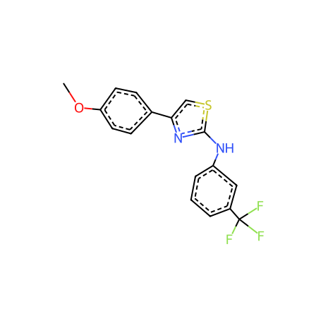 COc1ccc(-c2csc(Nc3cccc(C(F)(F)F)c3)n2)cc1